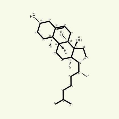 CC(C)CCC[C@@H](C)[C@H]1CC[C@@]2(O)[C@@H]3CC=C4C[C@@H](O)CC[C@]4(C)[C@H]3CC[C@]12C